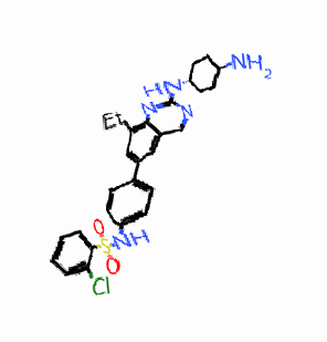 CCc1cc(-c2ccc(NS(=O)(=O)c3ccccc3Cl)cc2)cc2cnc(N[C@H]3CC[C@H](N)CC3)nc12